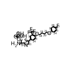 C[C@](N)(COP(=O)(O)O)C1=NCC(c2ccc(OCCCCOc3ccc(F)cc3)c(C(F)(F)F)c2)S1